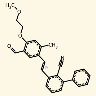 COCCOc1cc(C)c(/C=C/c2cccc(-c3ccccc3)c2C#N)cc1C=O